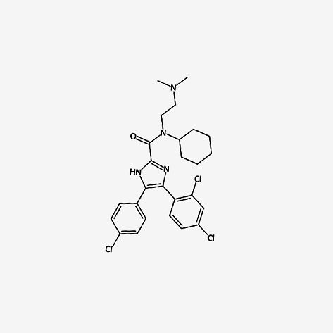 CN(C)CCN(C(=O)c1nc(-c2ccc(Cl)cc2Cl)c(-c2ccc(Cl)cc2)[nH]1)C1CCCCC1